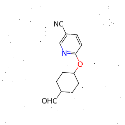 N#Cc1ccc(OC2CCC(C=O)CC2)nc1